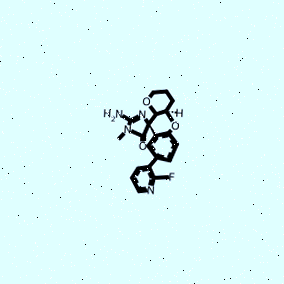 CN1C(=O)[C@@]2(N=C1N)c1cc(-c3cccnc3F)ccc1O[C@@H]1CCCOC12